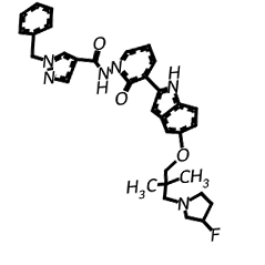 CC(C)(COc1ccc2[nH]c(-c3cccn(NC(=O)c4cnn(Cc5ccccc5)c4)c3=O)cc2c1)CN1CCC(F)C1